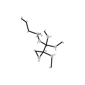 CCC[SiH2]OC(OC)(OC)C1(OC)CO1